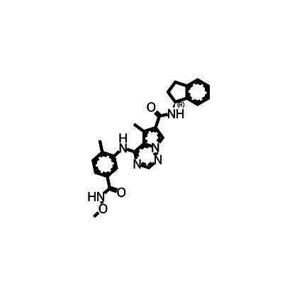 CONC(=O)c1ccc(C)c(Nc2ncnn3cc(C(=O)N[C@@H]4CCc5ccccc54)c(C)c23)c1